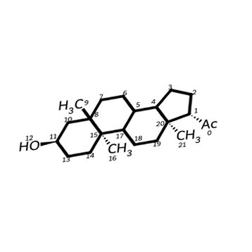 CC(=O)[C@H]1CCC2C3CCC4(C)C[C@H](O)CC[C@]4(C)C3CC[C@@]21C